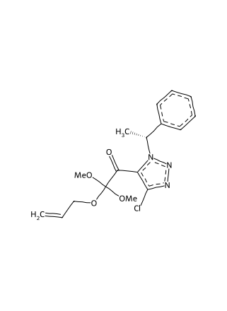 C=CCOC(OC)(OC)C(=O)c1c(Cl)nnn1[C@H](C)c1ccccc1